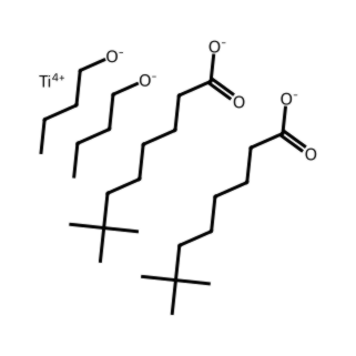 CC(C)(C)CCCCCC(=O)[O-].CC(C)(C)CCCCCC(=O)[O-].CCCC[O-].CCCC[O-].[Ti+4]